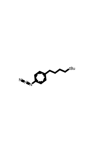 CC(C)(C)CCCCc1ccc(N=[N+]=[N-])cc1